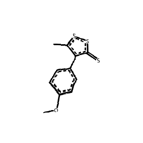 COc1ccc(-c2c(C)ssc2=S)cc1